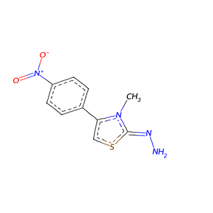 Cn1c(-c2ccc([N+](=O)[O-])cc2)csc1=NN